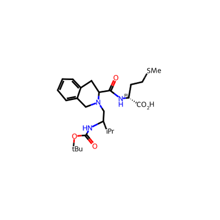 CSCC[C@@H](NC(=O)C1Cc2ccccc2CN1CC(NC(=O)OC(C)(C)C)C(C)C)C(=O)O